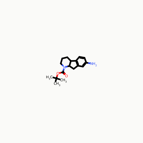 CC(C)(C)OC(=O)N1CCCC2c3ccc(N)cc3CC21